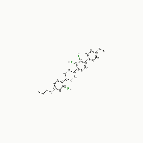 CCCCc1ccc(C2CCC(c3ccc(-c4ccc(CC)cc4)c(F)c3F)CC2)c(F)c1